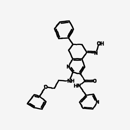 O=C(Nc1cccnc1)c1cc2c(nc1NCCOc1ccccc1)CC(c1ccccc1)C/C2=N\O